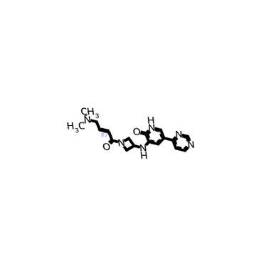 CN(C)C/C=C/C(=O)N1CC(Nc2cc(-c3ccncn3)c[nH]c2=O)C1